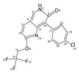 O=c1[nH]cc2ccc(OCC(F)(F)F)nc2c1-c1ccc(Cl)cc1